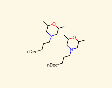 CCCCCCCCCCCCCN1CC(C)OC(C)C1.CCCCCCCCCCCCCN1CC(C)OC(C)C1